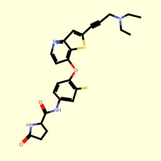 CCN(CC)CC#Cc1cc2nccc(Oc3ccc(NC(=O)C4CCC(=O)N4)cc3F)c2s1